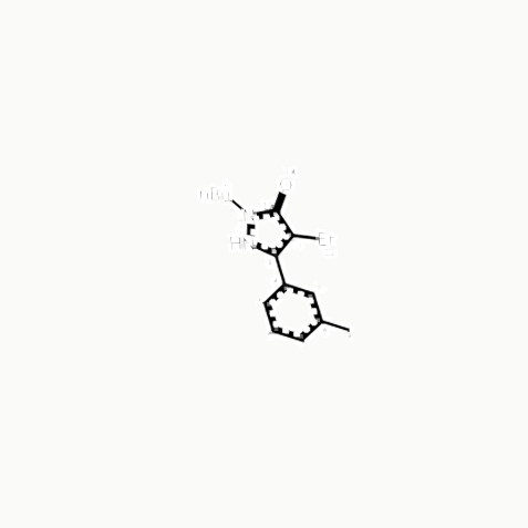 CCCCn1[nH]c(-c2cccc(C)c2)c(CC)c1=O